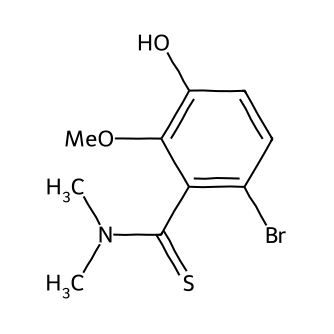 COc1c(O)ccc(Br)c1C(=S)N(C)C